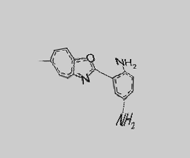 Cc1ccc2oc(-c3cc(N)ccc3N)nc2c1